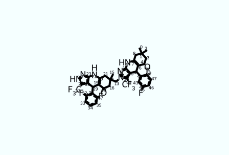 CC1(C)CC(=O)C2=C(C1)Nc1nn(CC3(C)CC(=O)C4=C(C3)Nc3n[nH]c(C(F)(F)F)c3C4c3c(F)cccc3F)c(C(F)(F)F)c1C2c1cc(F)ccc1F